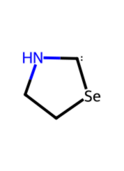 [C]1NCC[Se]1